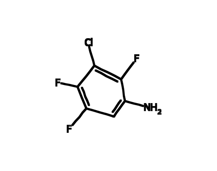 Nc1cc(F)c(F)c(Cl)c1F